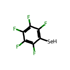 Fc1c(F)c(F)c([SeH])c(F)c1F